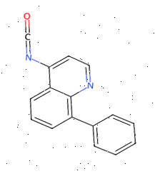 O=C=Nc1ccnc2c(-c3ccccc3)cccc12